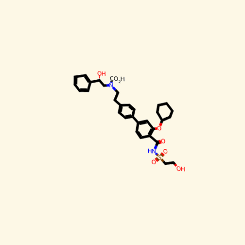 O=C(NS(=O)(=O)CCO)c1ccc(-c2ccc(CCN(C[C@@H](O)c3ccccc3)C(=O)O)cc2)cc1OC1CCCCC1